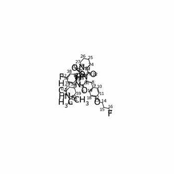 C=C1CC(NC(=O)[C@H](Cc2ccc(OCCCF)cc2)NC(=O)[C@@H]2CCCCN2S(=O)(=O)c2cccc(F)c2)CC(C)(C)N1